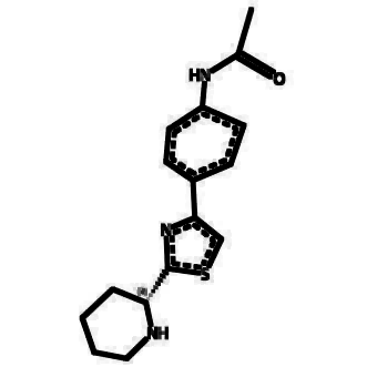 CC(=O)Nc1ccc(-c2csc([C@H]3CCCCN3)n2)cc1